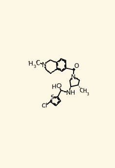 C[C@H]1CN(C(=O)c2ccc3c(c2)CCN(C)C3)C[C@@H]1NC(O)c1ccc(Cl)s1